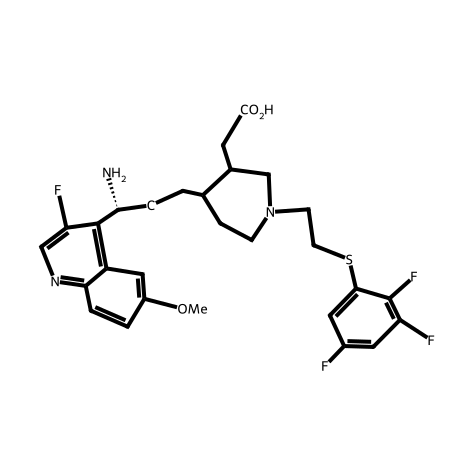 COc1ccc2ncc(F)c([C@H](N)CCC3CCN(CCSc4cc(F)cc(F)c4F)CC3CC(=O)O)c2c1